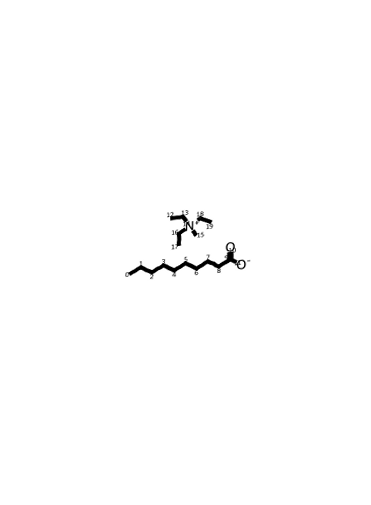 CCCCCCCCCC(=O)[O-].CC[N+](C)(CC)CC